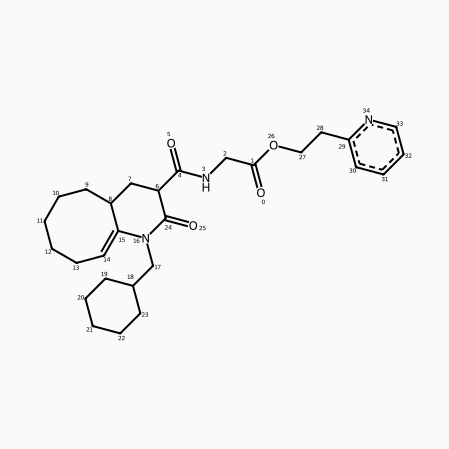 O=C(CNC(=O)C1CC2CCCCCC=C2N(CC2CCCCC2)C1=O)OCCc1ccccn1